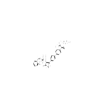 COC(=O)C1(c2ccc(-c3ccc(-c4snc(C)c4NC(=O)O[C@H](C)c4ccccn4)cc3)cc2)CC1